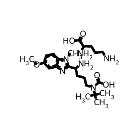 COc1ccc2c(c1)nc(C(N)CCCN(C(=O)O)C(C)(C)C)n2C.NCCCC(N)C(=O)O